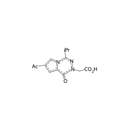 CC(=O)c1cc2c(=O)n(CC(=O)O)nc(C(C)C)n2c1